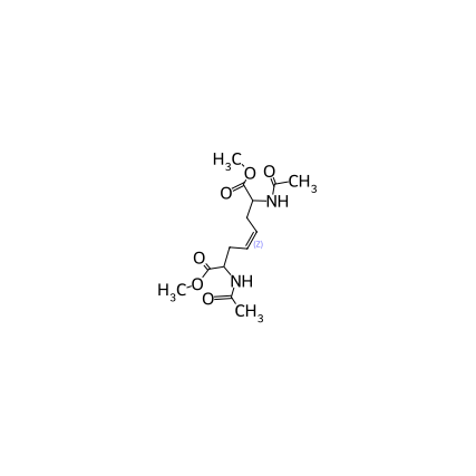 COC(=O)C(C/C=C\CC(NC(C)=O)C(=O)OC)NC(C)=O